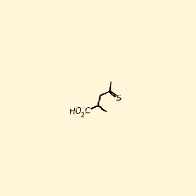 CC(=S)CC(C)C(=O)O